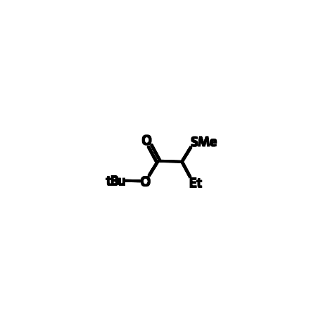 CCC(SC)C(=O)OC(C)(C)C